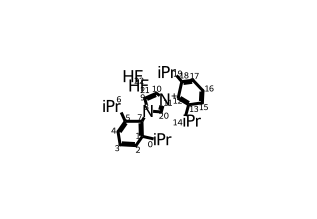 CC(C)c1cccc(C(C)C)c1-n1cc[n+](-c2c(C(C)C)cccc2C(C)C)c1.F.F